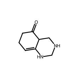 O=C1CCC=C2NCNCC12